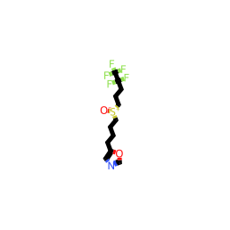 [O-][S+](CCCCc1cnco1)CCCC(F)(F)C(F)(F)F